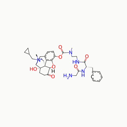 CN(CCNC(=O)[C@H](Cc1ccccc1)NC(=O)CN)C(=O)Oc1ccc2c3c1O[C@H]1C(=O)CC[C@@]4(O)C(C2)[N@+](C)(CC2CC2)CC[C@]314